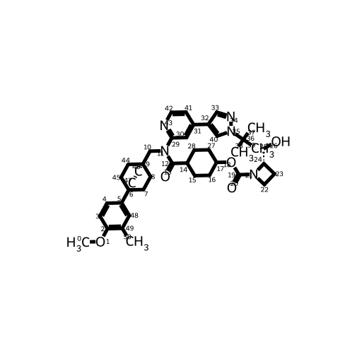 COc1ccc(C23CCC(CN(C(=O)C4CCC(OC(=O)N5CC[C@H]5CO)CC4)c4cc(-c5cnn(C(C)(C)C)c5)ccn4)(CC2)CC3)cc1C